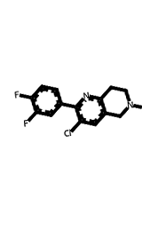 Fc1ccc(-c2nc3c(cc2Cl)CN(Cl)CC3)cc1F